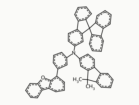 CC1(C)c2ccccc2-c2ccc(N(c3cccc(-c4cccc5c4oc4ccccc45)c3)c3ccc4c(c3)C3(c5ccccc5-c5ccccc53)c3ccccc3-4)cc21